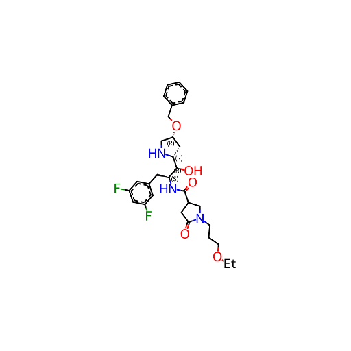 CCOCCCN1CC(C(=O)N[C@@H](Cc2cc(F)cc(F)c2)[C@H](O)[C@H]2C[C@@H](OCc3ccccc3)CN2)CC1=O